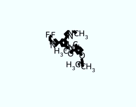 CCn1ccc(-c2cc(-c3cnn(CC(F)F)c3)cc([C@@H](C)NC(=O)c3cc(OCCN(C)C)ccc3C)c2)n1